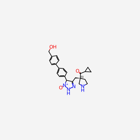 O=C(C1CC1)[C@]1(CC2=NN[N+](=O)C2c2ccc(-c3ccc(CO)cc3)cc2)CCNC1